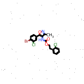 Cc1noc(-c2ccc(Br)c(Cl)c2)c1NC(=O)OCCc1ccccc1Cl